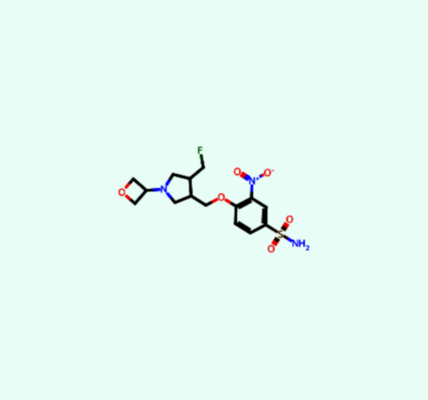 NS(=O)(=O)c1ccc(OCC2CN(C3COC3)CC2CF)c([N+](=O)[O-])c1